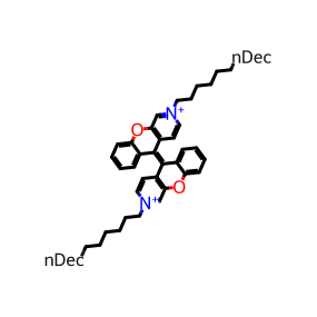 CCCCCCCCCCCCCCCC[n+]1ccc2c(c1)Oc1ccccc1/C2=C1/c2ccccc2Oc2c[n+](CCCCCCCCCCCCCCCC)ccc21